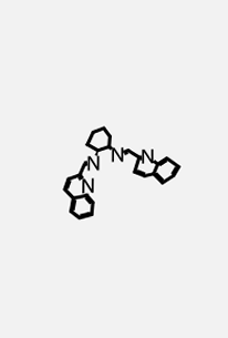 C(=NC1CCCC[C@@H]1N=Cc1ccc2ccccc2n1)c1ccc2ccccc2n1